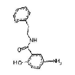 Nc1ccc(O)c(C(=O)NCCc2ccccn2)c1